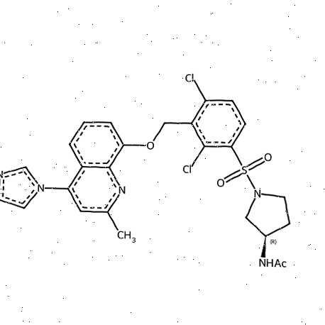 CC(=O)N[C@@H]1CCN(S(=O)(=O)c2ccc(Cl)c(COc3cccc4c(-n5ccnc5)cc(C)nc34)c2Cl)C1